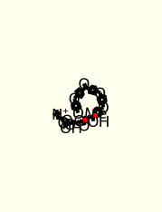 COc1ccc(Oc2ccc(C(=O)c3ccc(Oc4ccc(Oc5ccc(C(O)CC(C)(C)C(=O)OCCOP(=O)(O)OCC[N+](C)(C)C)cc5)cc4)cc3)cc2)cc1